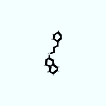 c1ccc(CCCSc2ccc3ccccc3c2)cc1